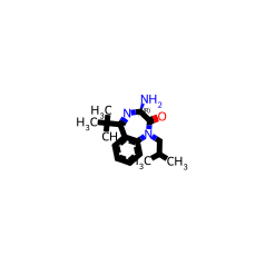 CC(C)CN1C(=O)[C@H](N)N=C(C(C)(C)C)c2ccccc21